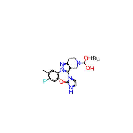 Cc1cc(-n2nc3c(c2-n2cc[nH]c2=O)CN(C(O)OC(C)(C)C)CC3)ccc1F